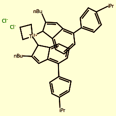 CCCCC1=Cc2c(-c3ccc(C(C)C)cc3)cccc2[CH]1[Ti+2]1([CH]2C(CCCC)=Cc3c(-c4ccc(C(C)C)cc4)cccc32)[CH2]C[CH2]1.[Cl-].[Cl-]